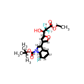 CCOC(=O)C(F)(F)C(O)c1cc(-c2cn(C(=O)OC(C)(C)C)c3c(F)cccc23)co1